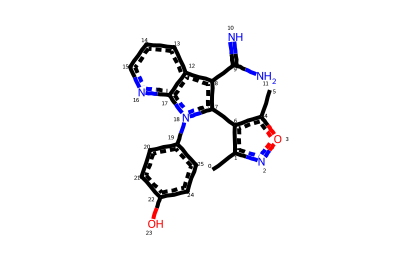 Cc1noc(C)c1-c1c(C(=N)N)c2cccnc2n1-c1ccc(O)cc1